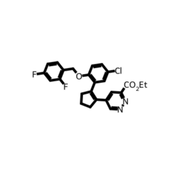 CCOC(=O)c1cc(C2=C(c3cc(Cl)ccc3OCc3ccc(F)cc3F)CCC2)cnn1